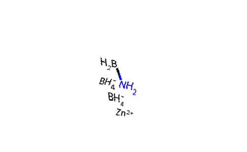 BN.[BH4-].[BH4-].[Zn+2]